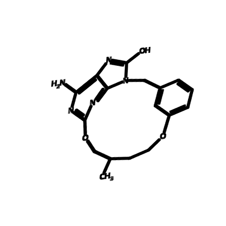 CC1CCOc2cccc(c2)Cn2c(O)nc3c(N)nc(nc32)OC1